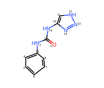 O=C(Nc1ccccc1)Nc1c[nH]nn1